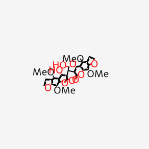 COc1c2occc2c(OC)c2c(O)c(C3c4c(c5c(OC)c6ccoc6c(OC)c5oc4=O)OC3O)c(=O)oc12